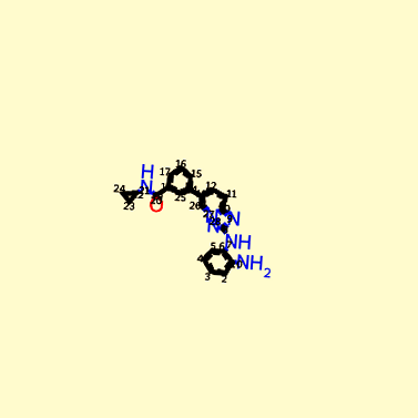 Nc1ccccc1Nc1nc2ccc(-c3cccc(C(=O)NC4CC4)c3)cn2n1